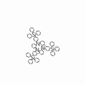 c1ccc([Si](c2ccccc2)(c2ccccc2)c2ccc(-n3c4ccccc4n4c5ccc([Si](c6ccccc6)(c6ccccc6)c6ccccc6)cc5c5cccc(c54)n4c5ccc([Si](c6ccccc6)(c6ccccc6)c6ccccc6)cc5c5cccc3c54)cc2)cc1